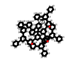 c1ccc(-c2cc(-c3ccccc3)cc(-c3cccc(-c4cc(-c5cccc(-c6cc(-c7ccccc7)cc(-c7ccccc7)c6)c5)cc(C5(c6cc(-c7cccc(-c8cc(-c9ccccc9)cc(-c9ccccc9)c8)c7)cc(-c7cccc(-c8cc(-c9ccccc9)cc(-c9ccccc9)c8)c7)c6)c6cc7c(cc6-c6c(-c8cccc(-c9ccccc9)c8)cccc65)OCO7)c4)c3)c2)cc1